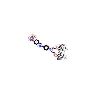 CC(C)S(=O)(=O)NC1CCC(CNc2ccc(N(CCO[Si](C)(C)C(C)(C)C)CCO[Si](C)(C)C(C)(C)C)cc2)CC1